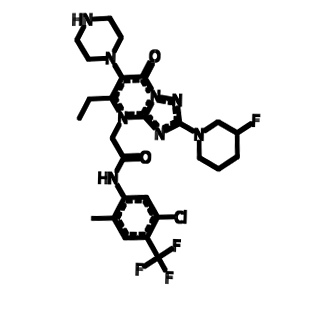 CCc1c(N2CCNCC2)c(=O)n2nc(N3CCCC(F)C3)nc2n1CC(=O)Nc1cc(Cl)c(C(F)(F)F)cc1C